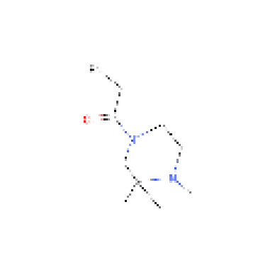 CC(C)CC(=O)N1CCN(C)C(C)(C)C1